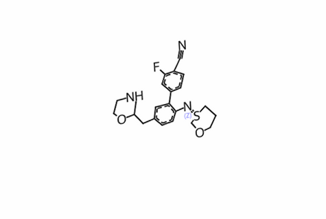 N#Cc1ccc(-c2cc(CC3CNCCO3)ccc2/N=S2/CCCOC2)cc1F